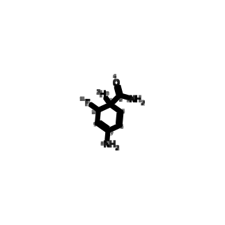 [2H]C1(C(N)=O)C=CC(N)=CC1F